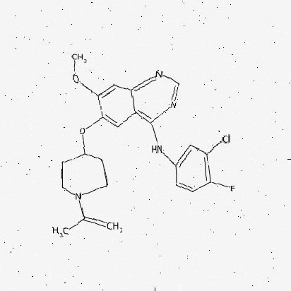 C=C(C)N1CCC(Oc2cc3c(Nc4ccc(F)c(Cl)c4)ncnc3cc2OC)CC1